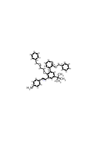 CC(C)(C)c1cc(/C=C/c2ccc(N)cc2)c(OCCOCc2ccccc2)c(-c2cccnc2OCc2ccccc2)c1